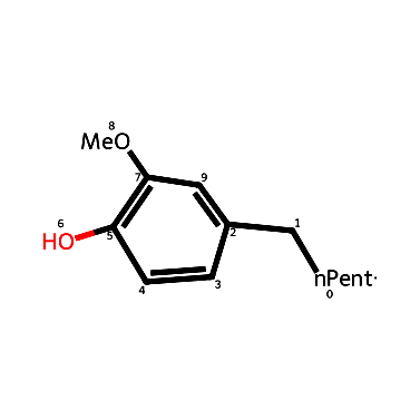 CCCC[CH]Cc1ccc(O)c(OC)c1